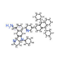 Cc1ccc(-c2c3ccccc3c(-c3ccccc3)c3cc(-c4ccc(C/C=C\C(=C/N)c5ccc6c(c5)c5ncccc5n6-c5ccccc5)nc4)ccc23)cc1